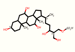 C[C@@H](CCC(O)[C@H](CO)COS(=O)(=O)O)C1CCC2C3C(O)CC4C[C@H](O)CCC4(C)C3CC(O)C21C